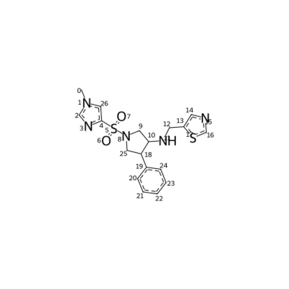 Cn1cnc(S(=O)(=O)N2CC(NCc3cncs3)C(c3ccccc3)C2)c1